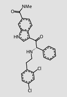 CNC(=O)c1ccc2c(C(=O)[C@@H](NCCc3ccc(Cl)cc3Cl)c3ccccc3)c[nH]c2c1